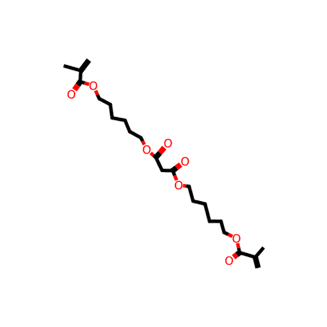 C=C(C)C(=O)OCCCCCCOC(=O)CC(=O)OCCCCCCOC(=O)C(=C)C